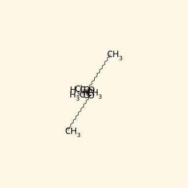 CCCCCCCCCCCCCCCCCC(=O)O[N+](C)(OC(=O)CCCCCCCCCCCCCCCCC)C(C)C.[Cl-]